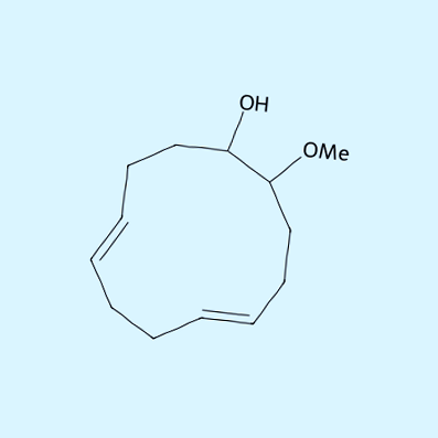 COC1CC/C=C/CC/C=C/CCC1O